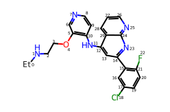 CCNCCOc1cnccc1Nc1cc(-c2cc(Cl)ccc2F)nc2ncccc12